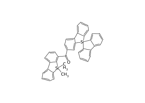 C[Si]1(C)c2ccccc2-c2cccc(C(=O)c3ccc4c(c3)[Si]3(c5ccccc5-c5ccccc53)c3ccccc3-4)c21